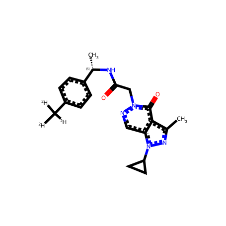 [2H]C([2H])([2H])c1ccc([C@H](C)NC(=O)Cn2ncc3c(c(C)nn3C3CC3)c2=O)cc1